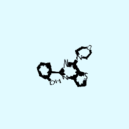 Oc1ccccc1-c1nc(N2CCOCC2)c2sccc2n1